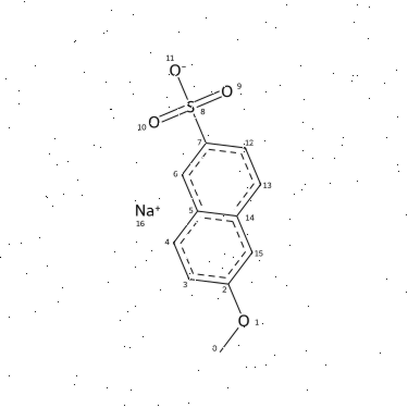 COc1ccc2cc(S(=O)(=O)[O-])ccc2c1.[Na+]